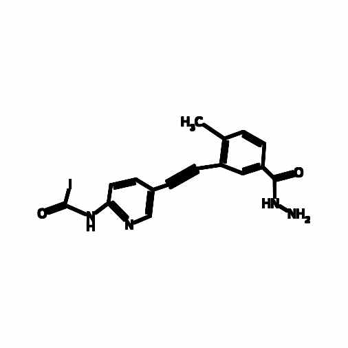 Cc1ccc(C(=O)NN)cc1C#Cc1ccc(NC(=O)I)nc1